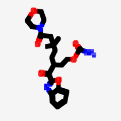 CC(C)(CCC(CCOC(N)=O)C(=O)c1nc2ccccc2o1)CC(=O)N1CCOCC1